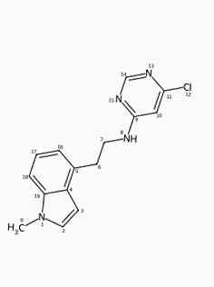 Cn1ccc2c(CCNc3cc(Cl)ncn3)cccc21